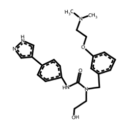 CN(C)CCOc1cccc(CN(CCO)C(=O)Nc2ccc(-c3cn[nH]c3)cc2)c1